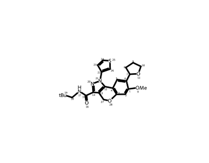 COc1cc2c(cc1C1CCCO1)-c1c(c(C(=O)NCC(C)(C)C)nn1-c1ccsc1)CO2